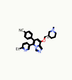 CCc1ccc(-c2c(-c3ccc(C#N)cc3)cc(OC[C@@H]3CCCN(C)C3)c3cncn23)cn1